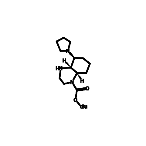 CC(C)(C)OC(=O)N1CCN[C@@H]2[C@H]1CCC[C@@H]2N1CCCC1